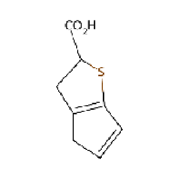 O=C(O)C1CC2=C(C=CC2)S1